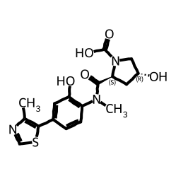 Cc1ncsc1-c1ccc(N(C)C(=O)[C@@H]2C[C@@H](O)CN2C(=O)O)c(O)c1